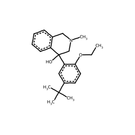 CCOc1ccc(C(C)(C)C)cc1C1(O)CN(C)Cc2ccccc21